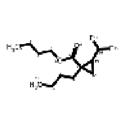 CCCCOC(=O)C1(CCCC)CC1C(F)F